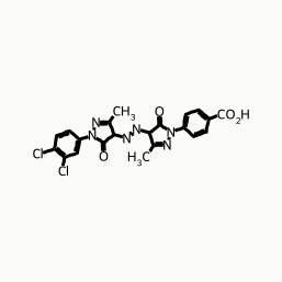 CC1=NN(c2ccc(C(=O)O)cc2)C(=O)C1/N=N/C1C(=O)N(c2ccc(Cl)c(Cl)c2)N=C1C